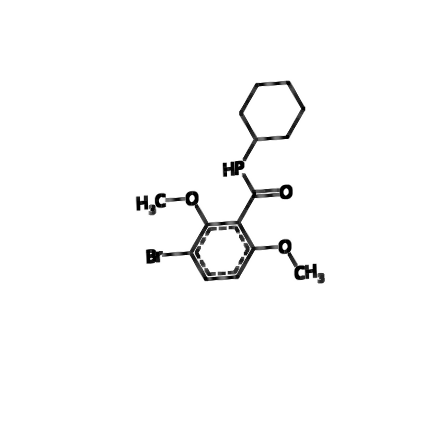 COc1ccc(Br)c(OC)c1C(=O)PC1CCCCC1